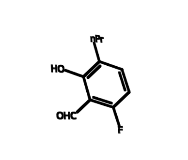 CCCc1ccc(F)c(C=O)c1O